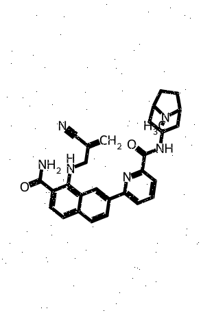 C=C(C#N)CNc1c(C(N)=O)ccc2ccc(-c3cccc(C(=O)NC4CC5CCC(C4)N5C)n3)cc12